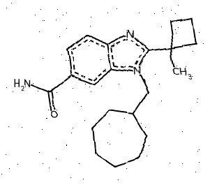 CC1(c2nc3ccc(C(N)=O)cc3n2CC2CCCCCC2)CCC1